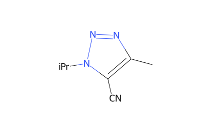 Cc1nnn(C(C)C)c1C#N